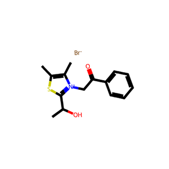 Cc1sc(C(C)O)[n+](CC(=O)c2ccccc2)c1C.[Br-]